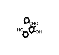 Cc1c(O)cccc1C=O.Oc1ccccc1.c1ccccc1